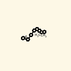 CC1(C)c2ccccc2-c2cc3ccc4ccc(-c5ccc(-c6cccc7c6sc6ccccc67)cc5)cc4c3cc21